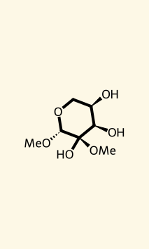 CO[C@@H]1OC[C@@H](O)[C@@H](O)[C@@]1(O)OC